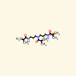 C=C(C)C(=O)NCCCN(CCCNC(=O)C(=C)C)C(=O)C(=C)C